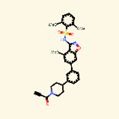 C#CC(=O)N1CCC(c2cccc(-c3cc(OC)c4c(NS(=O)(=O)c5c(OC)cccc5OC)noc4c3)c2)CC1